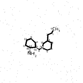 CCCC1CCCN(C[C@@H]2CCCC[C@H]2N)C1